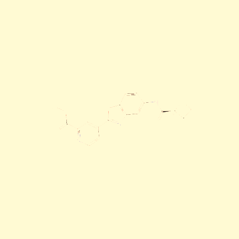 COC(=O)c1cc(-c2nc3cc(NC(=O)[C@@H]4CCO4)ccc3o2)ccn1